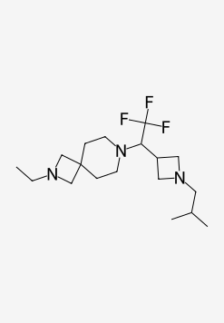 CCN1CC2(CCN(C(C3CN(CC(C)C)C3)C(F)(F)F)CC2)C1